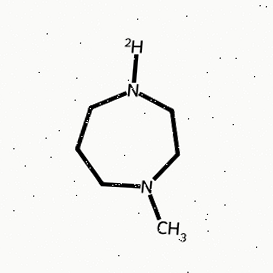 [2H]N1CCCN(C)CC1